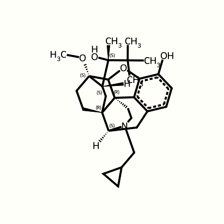 CO[C@@]12CC[C@]3(C[C@H]1[C@](C)(O)C(C)(C)C)[C@@H]1Cc4ccc(O)c5c4[C@]3(CCN1CC1CC1)C2O5